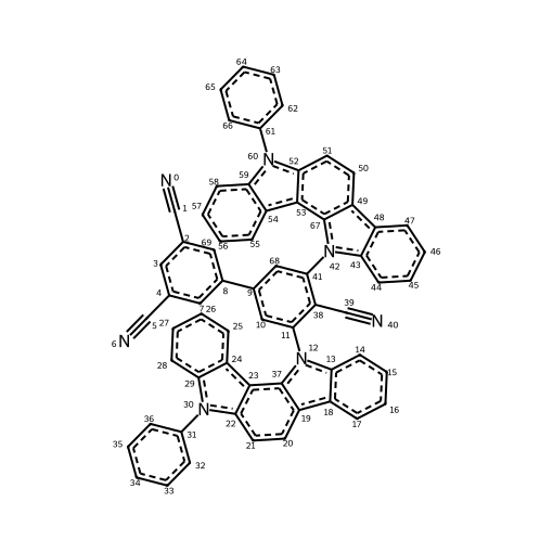 N#Cc1cc(C#N)cc(-c2cc(-n3c4ccccc4c4ccc5c(c6ccccc6n5-c5ccccc5)c43)c(C#N)c(-n3c4ccccc4c4ccc5c(c6ccccc6n5-c5ccccc5)c43)c2)c1